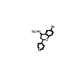 N#C/N=C1\CC(c2ccncc2)Oc2ccc(Br)cc21